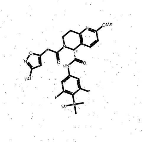 CC[Si](C)(C)c1c(F)cc(NC(=O)[C@H]2c3ccc(OC)nc3CCN2C(=O)Cc2cc(O)no2)cc1F